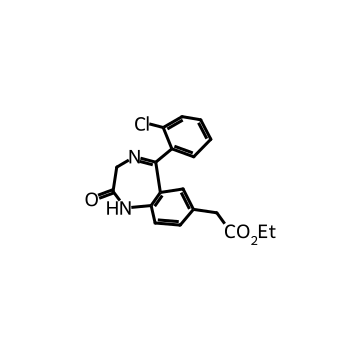 CCOC(=O)Cc1ccc2c(c1)C(c1ccccc1Cl)=NCC(=O)N2